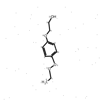 CCOOc1ccc(OCCO)cc1